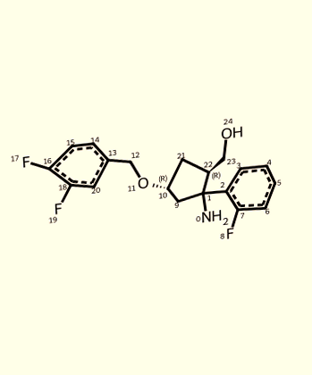 NC1(c2ccccc2F)C[C@H](OCc2ccc(F)c(F)c2)C[C@H]1CO